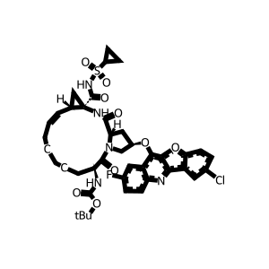 CC(C)(C)OC(=O)N[C@H]1CCCCC/C=C\[C@@H]2C[C@@]2(C(=O)NS(=O)(=O)C2CC2)NC(=O)[C@@H]2C[C@@H](Oc3c4cc(F)ccc4nc4c3oc3ccc(Cl)cc34)CN2C1=O